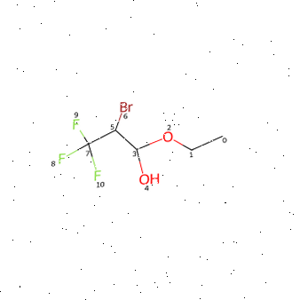 CCOC(O)C(Br)C(F)(F)F